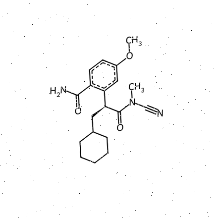 COc1ccc(C(N)=O)c([C@H](CC2CCCCC2)C(=O)N(C)C#N)c1